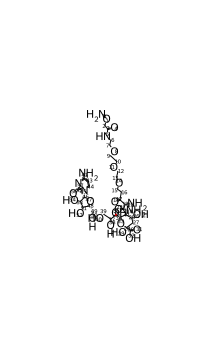 NOCC(=O)NCCOCCOCCOCCC(=O)C(N)C(=O)[C@@]1(N)[C@@H](O)CC(O)(C(=O)O)O[C@H]1C(O)C(O)CO.Nc1ccn([C@@H]2O[C@H](CO)[C@@H](O)[C@H]2O)c(=O)n1